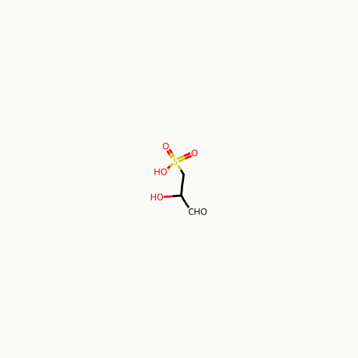 O=CC(O)CS(=O)(=O)O